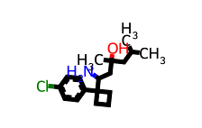 CC(C)CC(C)(O)CC(N)C1(c2ccc(Cl)cc2)CCC1